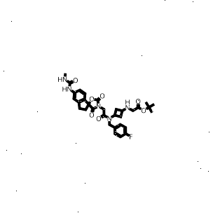 CNC(=O)Nc1ccc2c(c1)CCC21OC(=O)N(CC(=O)N(Cc2ccc(F)cc2)C2CC(NCC(=O)OC(C)(C)C)C2)C1=O